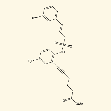 COC(=O)CCCC#Cc1cc(C(F)(F)F)ccc1NS(=O)(=O)CC=Cc1cccc(C(C)C)c1